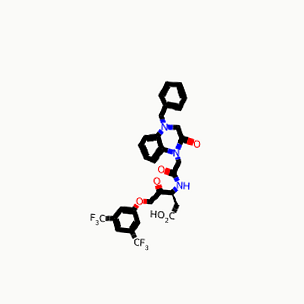 O=C(O)C[C@H](NC(=O)CN1C(=O)CN(Cc2ccccc2)c2ccccc21)C(=O)COc1cc(C(F)(F)F)cc(C(F)(F)F)c1